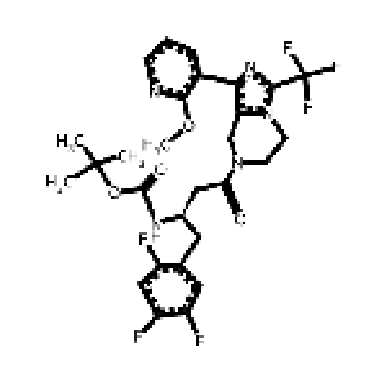 COc1ncccc1-c1nc(C(F)(F)F)n2c1CN(C(=O)C[C@@H](Cc1cc(F)c(F)cc1F)NC(=O)OC(C)(C)C)CC2